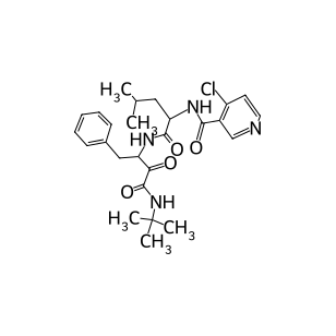 CC(C)CC(NC(=O)c1cnccc1Cl)C(=O)NC(Cc1ccccc1)C(=O)C(=O)NC(C)(C)C